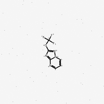 FC(F)(F)Oc1nc2ncccn2n1